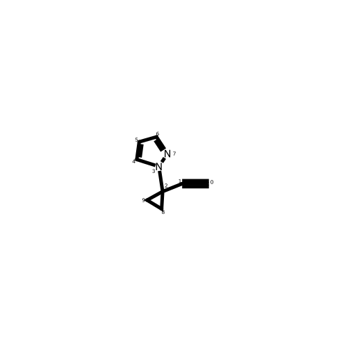 C#CC1(n2cccn2)CC1